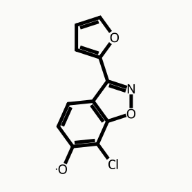 [O]c1ccc2c(-c3ccco3)noc2c1Cl